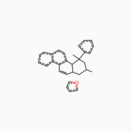 CC1CC2C=Cc3c(ccc4ccccc34)C2C(C)(c2ccccc2)C1.c1ccoc1